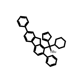 CCCCC(C1=CC=CC1)(c1c(-c2ccccc2)ccc2c1Cc1cc(-c3ccccc3)ccc1-2)C1CCCCC1